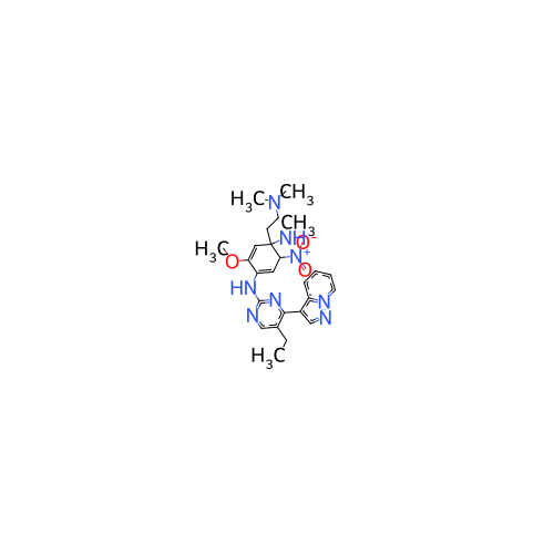 CCc1cnc(NC2=CC([N+](=O)[O-])C(CCN(C)C)(NC)C=C2OC)nc1-c1cnn2ccccc12